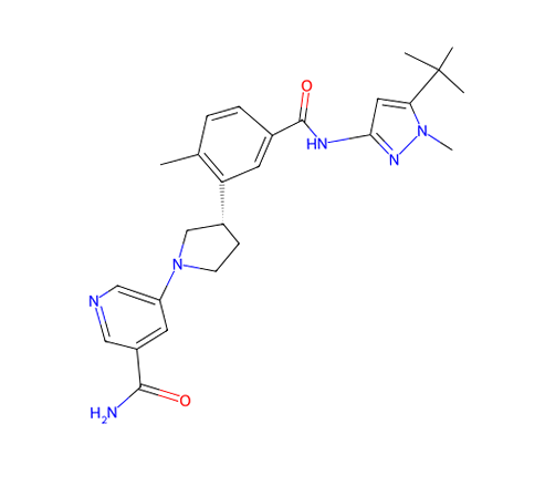 Cc1ccc(C(=O)Nc2cc(C(C)(C)C)n(C)n2)cc1[C@@H]1CCN(c2cncc(C(N)=O)c2)C1